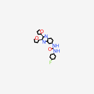 O=C(Nc1ccc(F)cc1)Nc1ccc2nc(-c3ccco3)c(-c3ccco3)nc2c1